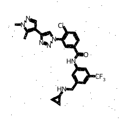 Cc1c(-c2cn(-c3cc(C(=O)Nc4cc(CNC5CC5)cc(C(F)(F)F)c4)ccc3Cl)nn2)cnn1C